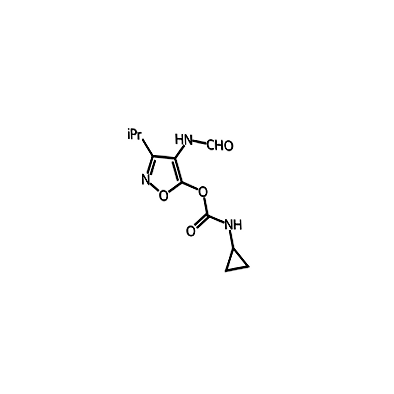 CC(C)c1noc(OC(=O)NC2CC2)c1NC=O